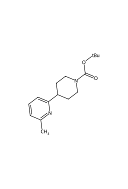 Cc1cccc(C2CCN(C(=O)OC(C)(C)C)CC2)n1